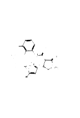 COc1c(F)cccc1NC(=O)[C@H]1C(=O)N(C)C[C@@H]1c1cc(Cl)n(C)n1